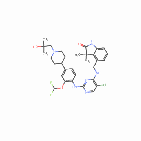 CC(C)(O)CN1CCC(c2ccc(Nc3ncc(Cl)c(NCc4cccc5c4C(C)(C)C(=O)N5)n3)c(OC(F)F)c2)CC1